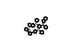 c1ccc(N(c2ccc(-c3cccc4c3sc3ccccc34)cc2)c2cc(N(c3ccccc3)c3ccc4ccccc4c3)cc(N(c3ccccc3)c3ccc4ccccc4c3)c2)cc1